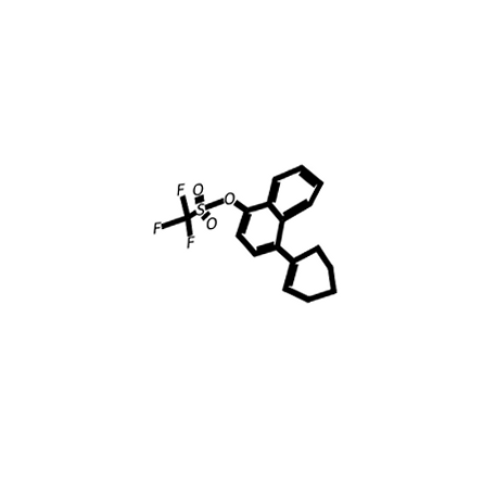 O=S(=O)(Oc1ccc(C2=CCCCC2)c2ccccc12)C(F)(F)F